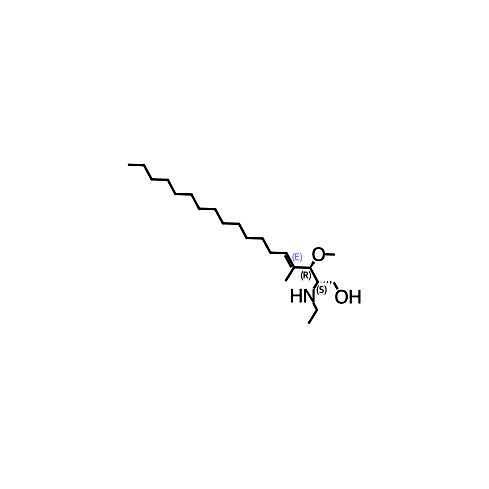 CCCCCCCCCCCCC/C=C(\C)[C@@H](OC)[C@H](CO)NCC